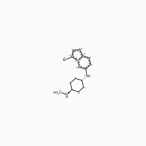 O=C(O)N[C@H]1CC[C@H](Nc2ccc3ncc(Br)n3n2)CC1